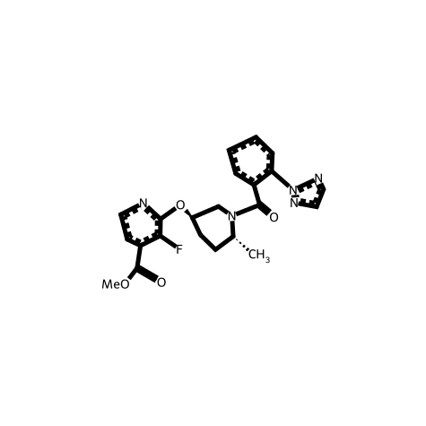 COC(=O)c1ccnc(O[C@@H]2CC[C@@H](C)N(C(=O)c3ccccc3-n3nccn3)C2)c1F